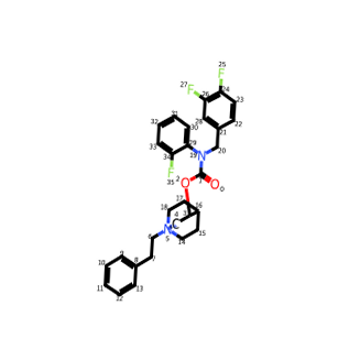 O=C(OC1C[N+]2(CCc3ccccc3)CCC1CC2)N(Cc1ccc(F)c(F)c1)c1ccccc1F